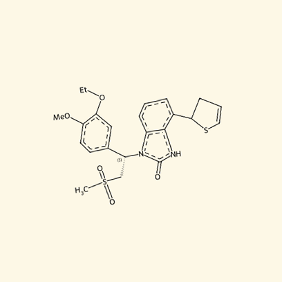 CCOc1cc([C@@H](CS(C)(=O)=O)n2c(=O)[nH]c3c(C4CC=CS4)cccc32)ccc1OC